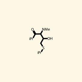 CNC(C(=O)C(C)C)C(O)CSC(C)C